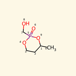 CC1CCOP(=O)(CO)O1